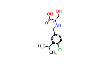 CC(C)c1cc(CN[C@H](CO)C(=O)O)ccc1Cl